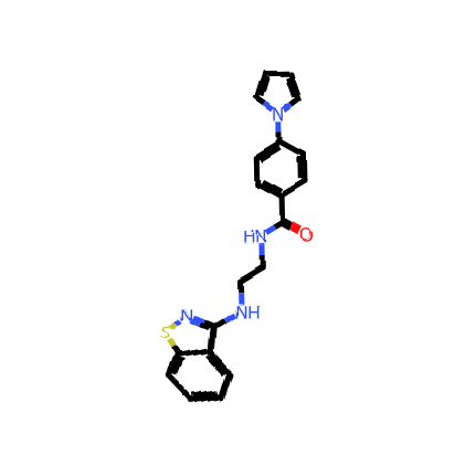 O=C(NCCNc1nsc2ccccc12)c1ccc(-n2cccc2)cc1